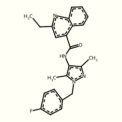 CCc1cc(C(=O)Nc2c(C)nn(Cc3ccc(F)cc3)c2C)c2ccccc2n1